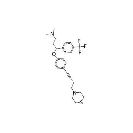 CN(C)CCC(Oc1ccc(C#CCCN2CCSCC2)cc1)c1ccc(C(F)(F)F)cc1